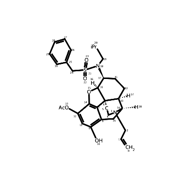 C=CCN1CC[C@]23c4c5c(O)cc(OC(C)=O)c4O[C@H]2[C@@H](N(CC(C)C)S(=O)(=O)Cc2ccccc2)CC[C@H]3[C@H]1C5